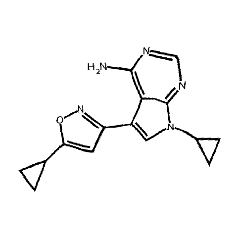 Nc1ncnc2c1c(-c1cc(C3CC3)on1)cn2C1CC1